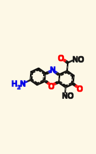 Nc1ccc2nc3c(C(=O)N=O)cc(=O)c(N=O)c-3oc2c1